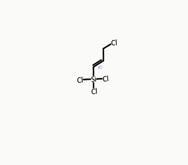 ClC/C=C/[Si](Cl)(Cl)Cl